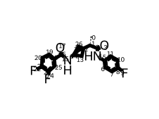 C[C@H](C(=O)Nc1ccc(F)cc1)C12CC(NC(=O)c3ccc(F)c(F)c3)(C1)C2